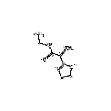 C=C(C(=O)OCC)C1=NCCO1